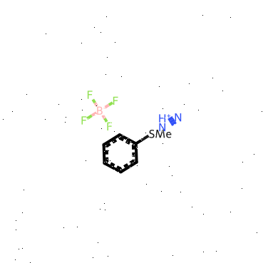 CSc1ccccc1.F[B-](F)(F)F.N#[NH+]